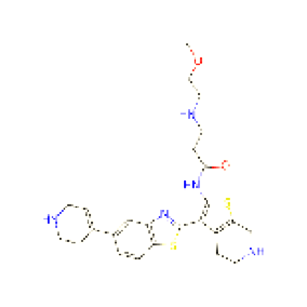 COCCNCCC(=O)Nc1sc2c(c1-c1nc3cc(C4=CCNCC4)ccc3s1)CCNC2